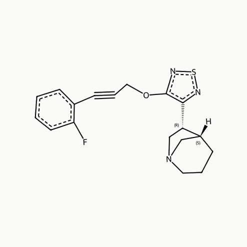 Fc1ccccc1C#CCOc1nsnc1[C@H]1CN2CCC[C@@H]1C2